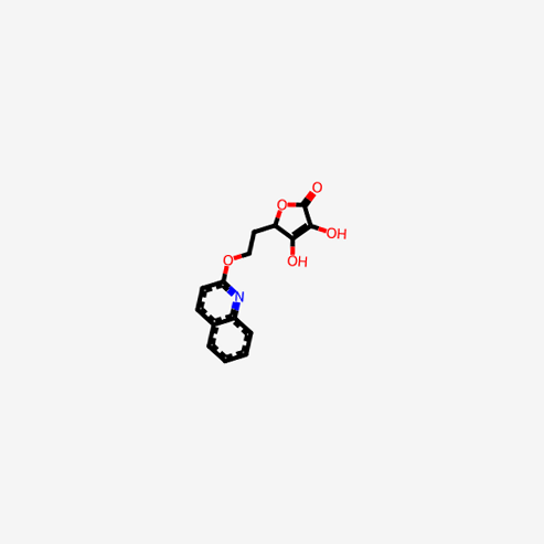 O=C1OC(CCOc2ccc3ccccc3n2)C(O)=C1O